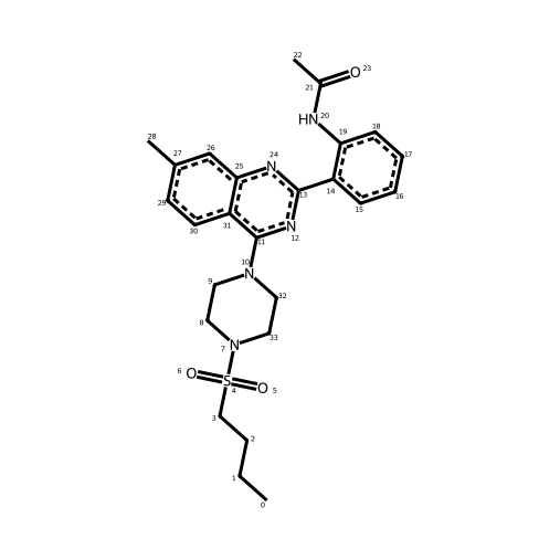 CCCCS(=O)(=O)N1CCN(c2nc(-c3ccccc3NC(C)=O)nc3cc(C)ccc23)CC1